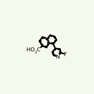 O=C(O)c1ccc2cccc(-c3ccnc(F)c3)c2c1